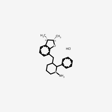 C[C@@H]1Oc2c(CC3CCCN(N)C3c3ccccc3)cccc2[C@@H]1C.Cl